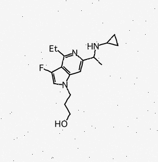 CCc1nc(C(C)NC2CC2)cc2c1c(F)cn2CCCO